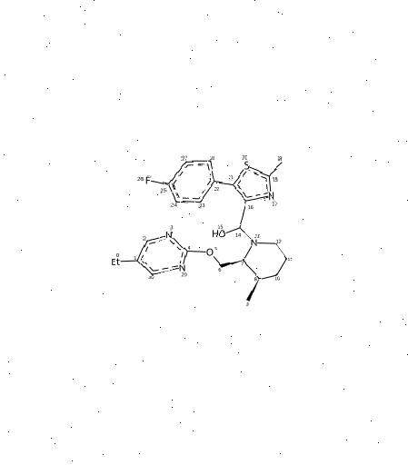 CCc1cnc(OC[C@@H]2[C@H](C)CCCN2C(O)c2nc(C)sc2-c2ccc(F)cc2)nc1